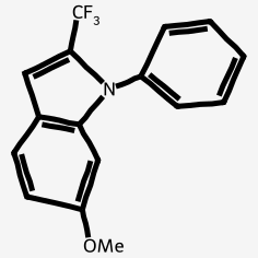 COc1ccc2cc(C(F)(F)F)n(-c3ccccc3)c2c1